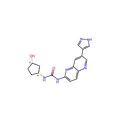 O=C(Nc1ccc2ncc(-c3cn[nH]c3)cc2n1)N[C@@H]1CC[C@H](O)C1